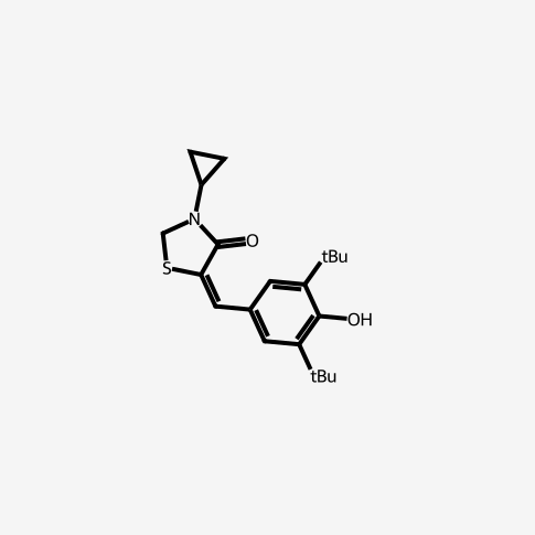 CC(C)(C)c1cc(C=C2SCN(C3CC3)C2=O)cc(C(C)(C)C)c1O